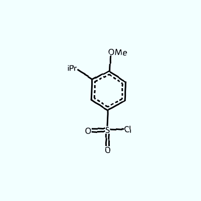 COc1ccc(S(=O)(=O)Cl)cc1C(C)C